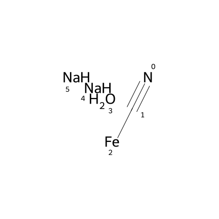 N#[C][Fe].O.[NaH].[NaH]